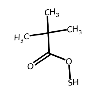 CC(C)(C)C(=O)OS